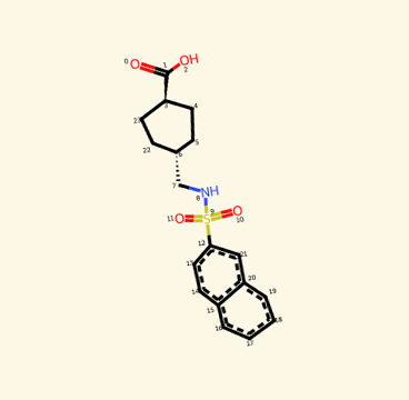 O=C(O)[C@H]1CC[C@H](CNS(=O)(=O)c2ccc3ccccc3c2)CC1